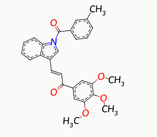 COc1cc(C(=O)C=Cc2cn(C(=O)c3cccc(C)c3)c3ccccc23)cc(OC)c1OC